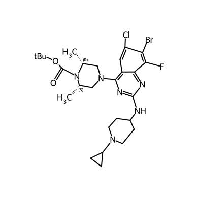 C[C@@H]1CN(c2nc(NC3CCN(C4CC4)CC3)nc3c(F)c(Br)c(Cl)cc23)C[C@H](C)N1C(=O)OC(C)(C)C